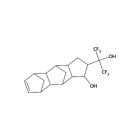 OC1C2C(CC1C(O)(C(F)(F)F)C(F)(F)F)C1CC2C2C3C=CC(C3)C12